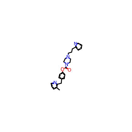 Cc1cccnc1Cc1ccc(OC(=O)N2CCN(CCCc3ccccn3)CC2)cc1